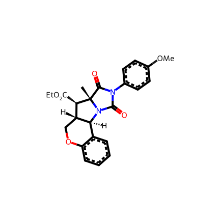 CCOC(=O)[C@@H]1[C@H]2COc3ccccc3[C@@H]2N2C(=O)N(c3ccc(OC)cc3)C(=O)[C@@]12C